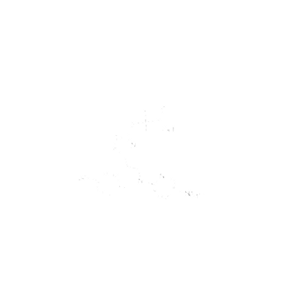 [C-]#[N+]c1ccc(N(CCc2csc(SC(C)(C)C(=O)O)n2)Cc2ccc(Br)cc2)nc1